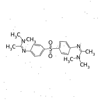 CC(=Nc1ccc(S(=O)(=O)c2ccc(N=C(C)N(C)C)cc2)cc1)N(C)C